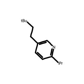 CC(C)c1ccc(CCC(C)(C)C)cn1